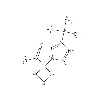 CC(C)(C)c1cn(C2(C(N)=O)CCC2)nn1